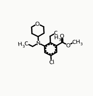 CCc1c(C(=O)OC)cc(Cl)cc1N(CC)C1CCOCC1